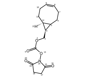 O=C(OC[C@@H]1C2CC/C=C\CC[C@@H]21)ON1C(=O)CCC1=O